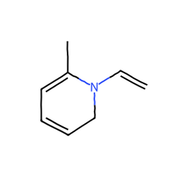 C=CN1CC=CC=C1C